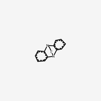 c1ccc2c(c1)N1CCN2c2ccccc21